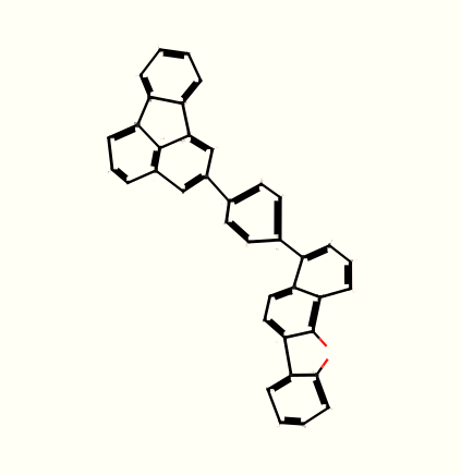 c1ccc2c(c1)-c1cccc3cc(-c4ccc(-c5cccc6c5ccc5c7ccccc7oc65)cc4)cc-2c13